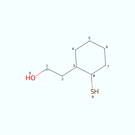 O[C]CC1CCCCC1S